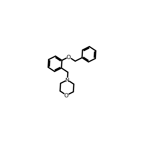 c1ccc(COc2ccccc2CN2CCOCC2)cc1